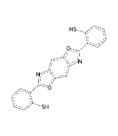 Sc1ccccc1-c1nc2cc3oc(-c4ccccc4S)nc3cc2o1